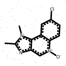 Cc1nc2c[n+]([O-])c3ccc(Cl)cc3c2n1C